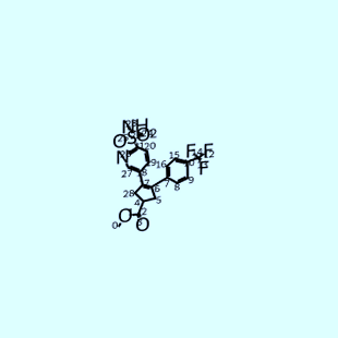 COC(=O)C1CC(c2ccc(C(F)(F)F)cc2)=C(c2ccc(S(N)(=O)=O)nc2)C1